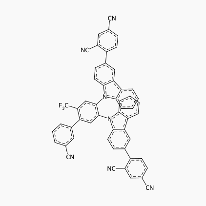 N#Cc1cccc(-c2cc(-n3c4ccccc4c4cc(-c5ccc(C#N)cc5C#N)ccc43)c(-n3c4ccccc4c4cc(-c5ccc(C#N)cc5C#N)ccc43)cc2C(F)(F)F)c1